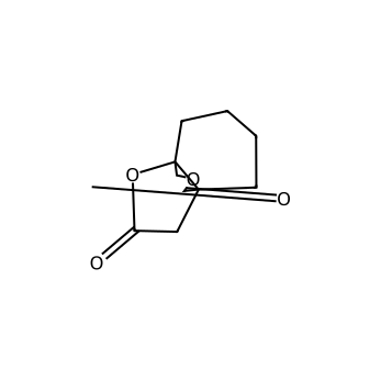 O=C1CC23CCCCC2(COC3=O)O1